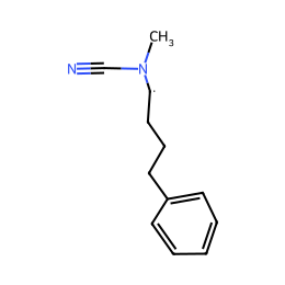 CN(C#N)[CH]CCCc1ccccc1